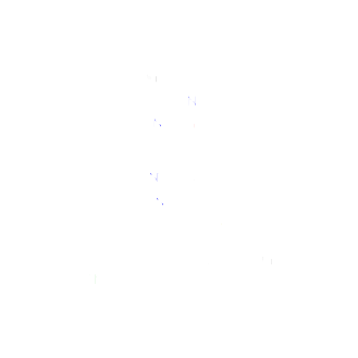 Cc1c(-c2nc(C(C)(C)C)no2)nn(-c2ccc(Cl)cc2Cl)c1-c1ccc(C(C)(C)C)s1